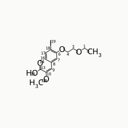 CCOCCOc1cc(/C=C(/OC)C(=O)O)ccc1I